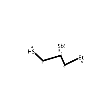 CCCCCS.[Sb]